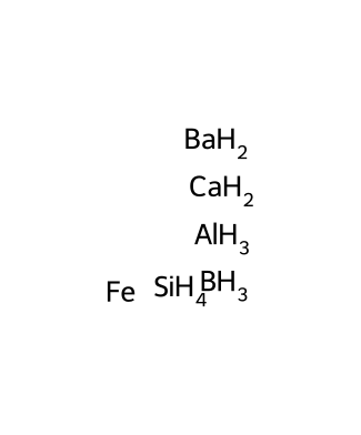 B.[AlH3].[BaH2].[CaH2].[Fe].[SiH4]